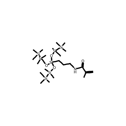 C=C(C)C(=O)NCCC[Si](O[Si](C)(C)[Si](C)(C)C)(O[Si](C)(C)[Si](C)(C)C)O[Si](C)(C)[Si](C)(C)C